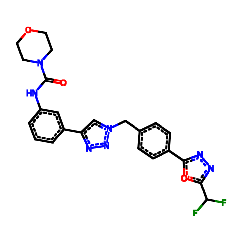 O=C(Nc1cccc(-c2cn(Cc3ccc(-c4nnc(C(F)F)o4)cc3)nn2)c1)N1CCOCC1